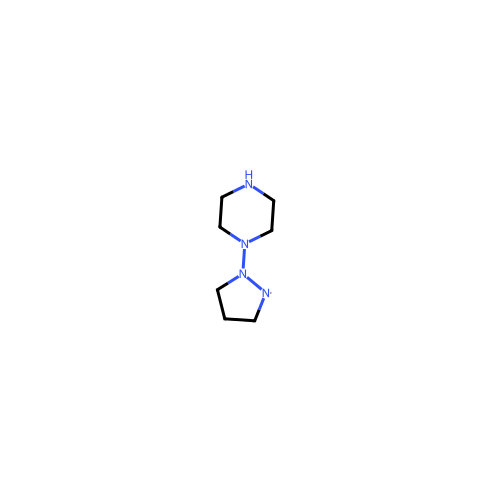 C1C[N]N(N2CCNCC2)C1